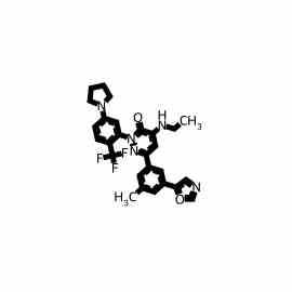 CCNc1cc(-c2cc(C)cc(-c3cnco3)c2)nn(-c2cc(N3CCCC3)ccc2C(F)(F)F)c1=O